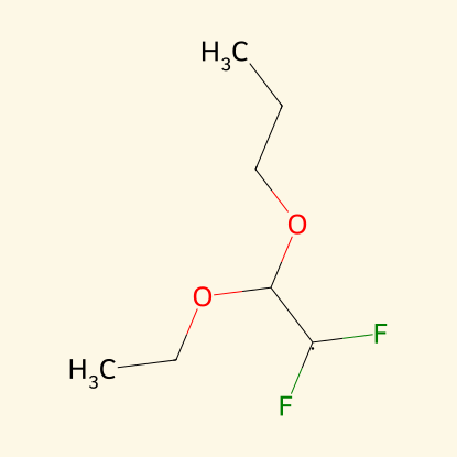 CCCOC(OCC)[C](F)F